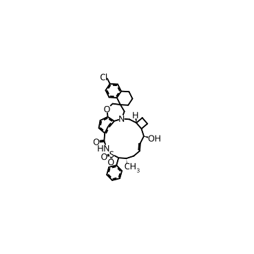 C[C@H]1C/C=C/[C@H](O)C2CC[C@H]2CN2CC3(CCCc4cc(Cl)ccc43)COc3ccc(cc32)C(=O)NS(=O)(=O)C1c1ccccc1